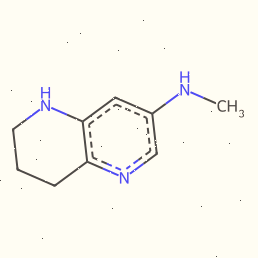 CNc1cnc2c(c1)NCCC2